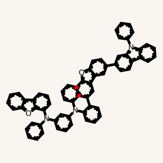 c1ccc(N(c2cccc(N(c3ccccc3)c3cccc4c3oc3ccccc34)c2)c2ccccc2-c2ccc3oc4ccc(-c5ccc6c7ccccc7n(-c7ccccc7)c6c5)cc4c3c2)cc1